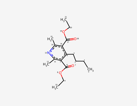 CCCCc1c(C(=O)OCC)c(C)nc(C)c1C(=O)OCC